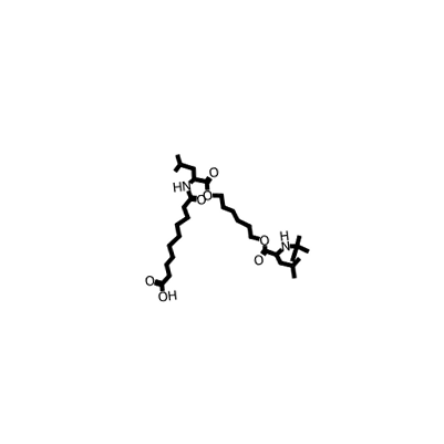 CC(C)CC(NC(=O)CCCCCCCCC(=O)O)C(=O)OCCCCCCOC(=O)C(CC(C)C)NC(C)(C)C